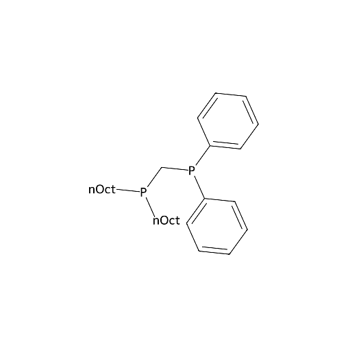 CCCCCCCCP(CCCCCCCC)CP(c1ccccc1)c1ccccc1